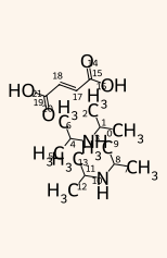 CC(C)NC(C)C.CC(C)NC(C)C.O=C(O)/C=C/C(=O)O